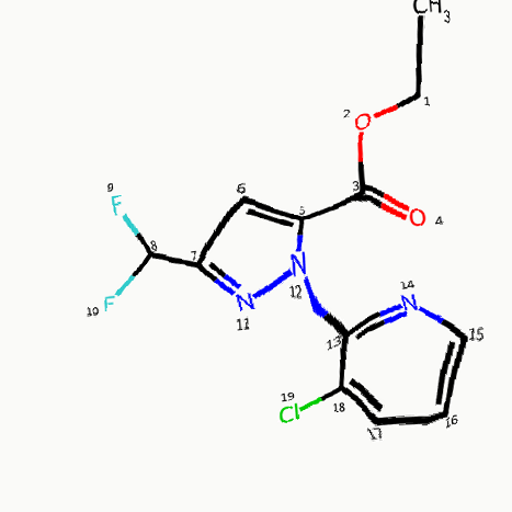 CCOC(=O)c1cc(C(F)F)nn1-c1ncccc1Cl